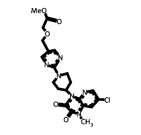 COC(=O)COCc1cnc(N2CCC(n3c(=O)c(=O)n(C)c4cc(Cl)cnc43)CC2)nc1